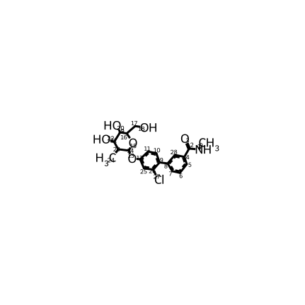 CNC(=O)c1cccc(-c2ccc(OC3OC(CO)C(O)C(O)C3C)cc2Cl)c1